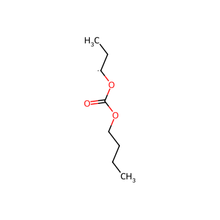 CC[CH]OC(=O)OCCCC